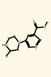 COC(=O)c1cncc(N2CCNC(C)C2)c1